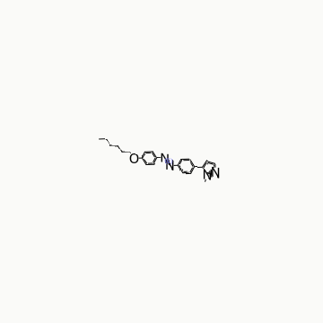 CCCCCCOc1ccc(/N=N/c2ccc(-c3ccnn3C)cc2)cc1